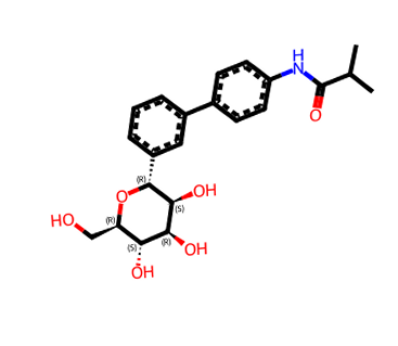 CC(C)C(=O)Nc1ccc(-c2cccc([C@H]3O[C@H](CO)[C@@H](O)[C@H](O)[C@@H]3O)c2)cc1